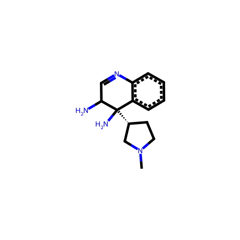 CN1CC[C@@H](C2(N)c3ccccc3N=CC2N)C1